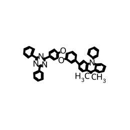 CC1(C)c2ccccc2N(c2ccccc2)c2cc(-c3ccc4c(c3)Oc3cc(-c5nc(-c6ccccc6)nc(-c6ccccc6)n5)ccc3O4)ccc21